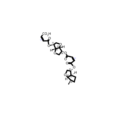 C[C@@H]1CC[C@H]2[C@@H]1OC[C@@H]2OC(=O)/C=C\C(=O)O[C@@H]1CO[C@H]2[C@@H]1OC[C@@H]2OC(=O)/C=C\C(=O)O